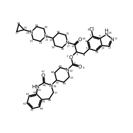 O=C(OC(Cc1cc(Cl)c2[nH]ncc2c1)C(=O)N1CCC(N2CCN(C3CC3)CC2)CC1)N1CCC(N2CCc3ccccc3NC2=O)CC1